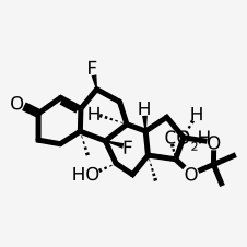 CC1(C)O[C@@H]2C[C@H]3[C@@H]4C[C@H](F)C5=CC(=O)CC[C@]5(C)[C@@]4(F)[C@@H](O)C[C@]3(C)[C@]2(C(=O)O)O1